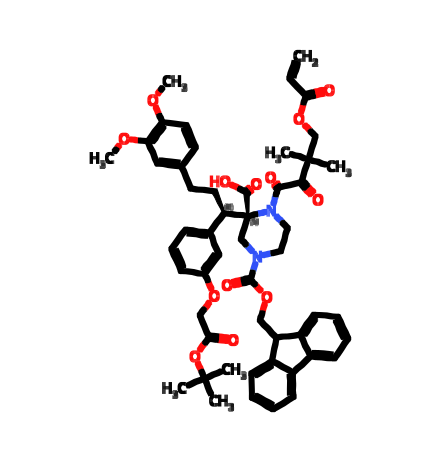 C=CC(=O)OCC(C)(C)C(=O)C(=O)N1CCN(C(=O)OCC2c3ccccc3-c3ccccc32)C[C@]1(C(=O)O)[C@H](CCc1ccc(OC)c(OC)c1)c1cccc(OCC(=O)OC(C)(C)C)c1